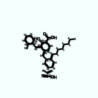 C=CC.CCCCCCCC=C1C=CC=CC1C=c1ccc(C(=O)O)c(O)c1=Cc1ccccc1C.N#CO